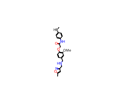 CBc1ccc(NC(=O)COc2ccc(CNCc3cc(C)on3)cc2OC)cc1